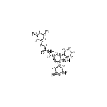 O=C(/C=C/c1cc(F)cc(F)c1)NCc1cc2c([nH]c3ccccc32)c(-c2cc(F)cc(F)c2)n1